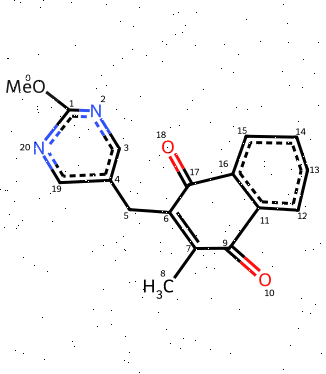 COc1ncc(CC2=C(C)C(=O)c3ccccc3C2=O)cn1